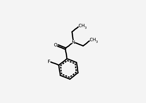 CCN(CC)C(=O)c1ccccc1F